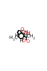 C=C1C(=O)O[C@@H]2C[C@H](C)[C@@H]3C=CC(=O)[C@@]3(C)[C@@H](O)[C@H]12